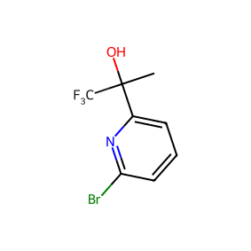 CC(O)(c1cccc(Br)n1)C(F)(F)F